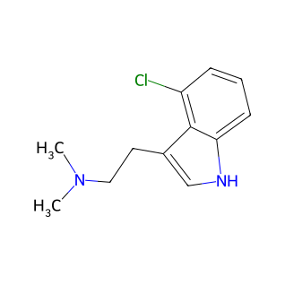 CN(C)CCc1c[nH]c2cccc(Cl)c12